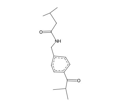 CC(C)CC(=O)NCc1ccc(C(=O)C(C)C)cc1